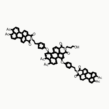 CC(=O)c1ccc2c3ccc4c5c(ccc(c6ccc(C(C)=O)c1c26)c53)C(=O)N(CCc1ccc(Oc2cc(C(C)=O)c3c(C(C)=O)ccc5c6c(Oc7ccc(CCN8C(=O)c9ccc%10c%11ccc(C(C)=O)c%12c(C(C)=O)ccc(c%13ccc(c9c%10%13)C8=O)c%12%11)cc7)cc7c8c(ccc(c2c35)c86)C(=O)N(CCCO)C7=O)cc1)C4=O